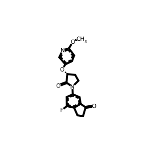 COc1ccc(O[C@@H]2CCN(c3cc(F)c4c(c3)C(=O)CC4)C2=O)cn1